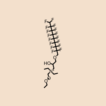 CCOOC[N+](CC)(CC)CC(O)COCC(F)(F)C(F)(F)C(F)(F)C(F)(F)C(F)(F)C(F)(F)C(F)(F)C(F)F